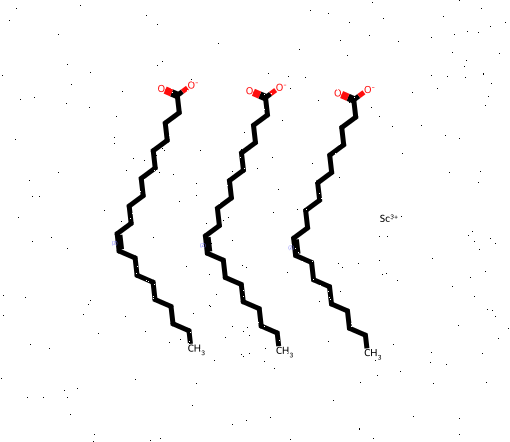 CCCCCCCC/C=C\CCCCCCCCCC(=O)[O-].CCCCCCCC/C=C\CCCCCCCCCC(=O)[O-].CCCCCCCC/C=C\CCCCCCCCCC(=O)[O-].[Sc+3]